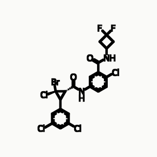 O=C(NC1CC(F)(F)C1)c1cc(NC(=O)[C@@H]2C(c3cc(Cl)cc(Cl)c3)[C@]2(Cl)Br)ccc1Cl